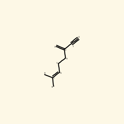 C#CC(=C)CCC=C(C)C